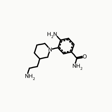 NCCC1CCCN(c2cc(C(N)=O)ccc2N)C1